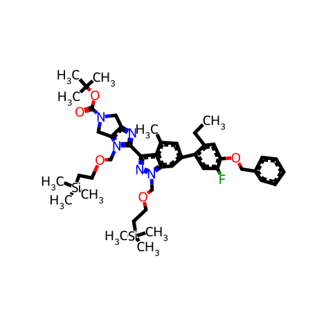 CCc1cc(OCc2ccccc2)c(F)cc1-c1cc(C)c2c(-c3nc4c(n3COCC[Si](C)(C)C)CN(C(=O)OC(C)(C)C)C4)nn(COCC[Si](C)(C)C)c2c1